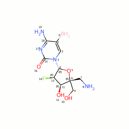 Bc1cn([C@@H]2O[C@](CN)(CO)[C@@H](O)[C@H]2F)c(=O)nc1N